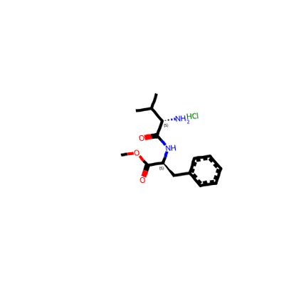 COC(=O)[C@H](Cc1ccccc1)NC(=O)[C@@H](N)C(C)C.Cl